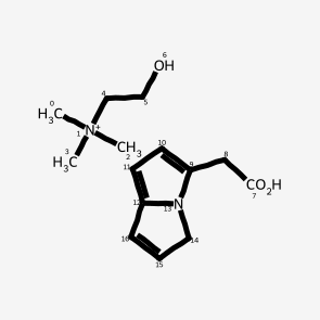 C[N+](C)(C)CCO.O=C(O)Cc1ccc2n1CC=C2